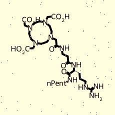 CCCCCNC(=O)[C@@H](CCCNC(=N)N)NC(=O)CCNC(=O)CN1CCN(CC(=O)O)CCN(CC(=O)O)CCN(CC(=O)O)CC1